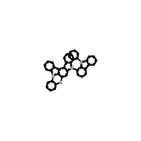 c1ccc(-n2c3ccccc3c3cccc(-n4c5ccccc5c5c6c7ccccc7n7c6c(cc54)Sc4ccccc4-7)c32)cc1